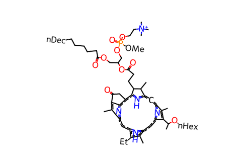 CCCCCCCCCCCCCCCC(=O)OCC(COP(=O)(OC)OCC[N+](C)(C)C)OC(=O)CCC1c2[nH]c(cc3nc(cc4[nH]c(cc5nc6c2CC(=O)C6=C5C)c(CC)c4C)C(C(C)OCCCCCC)=C3C)C1C